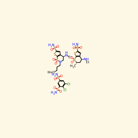 CCN[C@H]1CN(CCCOC)S(=O)(=O)c2sc(S(N)(=O)=O)cc21.CCN[C@H]1C[C@H](C)S(=O)(=O)c2sc(S(N)(=O)=O)cc21.NS(=O)(=O)c1cc(Cl)c(Cl)c(S(N)(=O)=O)c1